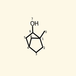 CC12CCC(CC1O)C2